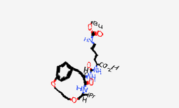 CC(C)[C@H]1COCCCCOc2ccc(cc2)C[C@@H](NC(=O)NC(CCCCNC(=O)OC(C)(C)C)C(=O)O)C(=O)N1